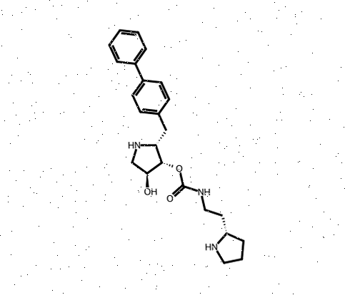 O=C(NCC[C@@H]1CCCN1)O[C@@H]1[C@@H](O)CN[C@@H]1Cc1ccc(-c2ccccc2)cc1